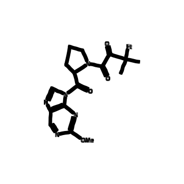 CCC(C)(C)C(=O)C(=O)N1CCCC1C(=O)n1cnc2cnc(OC)nc21